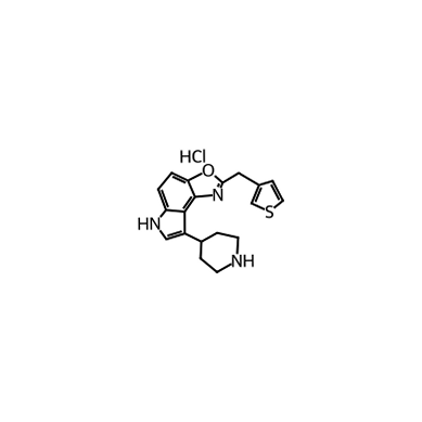 Cl.c1cc(Cc2nc3c(ccc4[nH]cc(C5CCNCC5)c43)o2)cs1